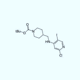 CC(C)(C)OC(=O)N1CCC(CNc2cc(Cl)ncc2I)CC1